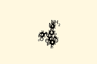 COc1cc(CN(Cc2cn3c4c(cc(F)c(F)c4c2=O)OC[C@@H]3C)[C@H]2CCCN(c3ccc(N)nc3)C2)ccn1